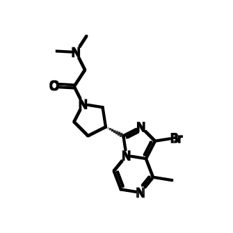 Cc1nccn2c([C@@H]3CCN(C(=O)CN(C)C)C3)nc(Br)c12